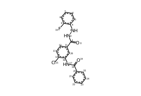 O=C(NNc1ccccc1F)c1ccc(Cl)c(NC(=O)c2ccccc2)c1